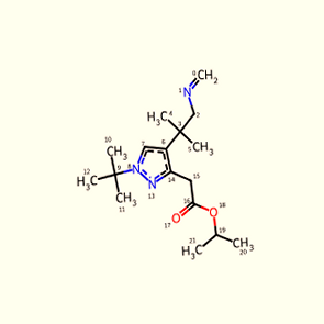 C=NCC(C)(C)c1cn(C(C)(C)C)nc1CC(=O)OC(C)C